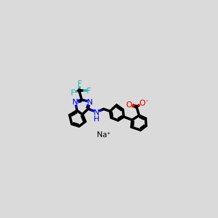 O=C([O-])c1ccccc1-c1ccc(CNc2nc(C(F)(F)F)nc3ccccc23)cc1.[Na+]